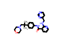 CC(C)(CN1CCOCC1)c1ccc(NC(=O)c2cccnc2NCc2ccncn2)cc1